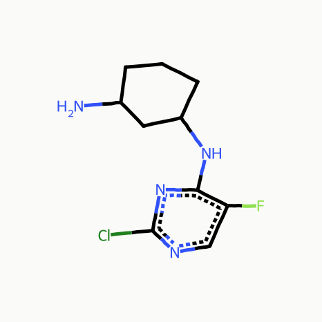 NC1CCCC(Nc2nc(Cl)ncc2F)C1